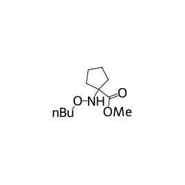 CCCCONC1(C(=O)OC)CCCC1